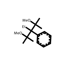 CCC(c1ccccc1)(C(C)(C)OC)C(C)(C)OC